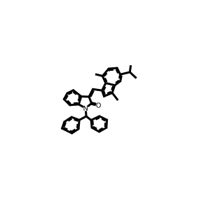 Cc1cc(C=C2C(=O)N(C(c3ccccc3)c3ccccc3)c3ccccc32)c2c(C)ccc(C(C)C)cc1-2